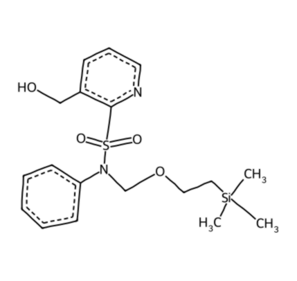 C[Si](C)(C)CCOCN(c1ccccc1)S(=O)(=O)c1ncccc1CO